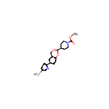 CC(C)(C)OC(=O)N1CCC(C2OCc3cc(-c4ccc(C(=O)O)cn4)ccc3O2)CC1